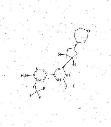 N=C(/C=C(\NCC(F)F)[C@H]1[C@@H]2C[C@@H](N3CCCOCC3)C[C@@H]21)c1cnc(N)c(OC(F)(F)F)c1